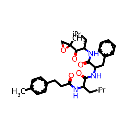 Cc1ccc(CCC(=O)NC(CC(C)C)C(=O)NC(Cc2ccccc2)C(=O)NC(CC(C)C)C(=O)C2(C)CO2)cc1